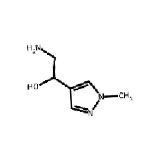 Cn1cc(C(O)CN)cn1